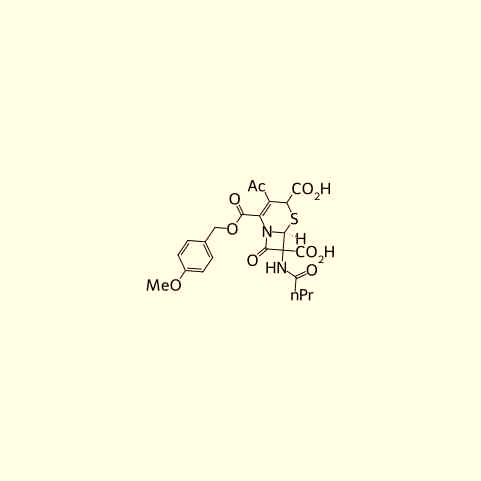 CCCC(=O)NC1(C(=O)O)C(=O)N2C(C(=O)OCc3ccc(OC)cc3)=C(C(C)=O)C(C(=O)O)S[C@H]21